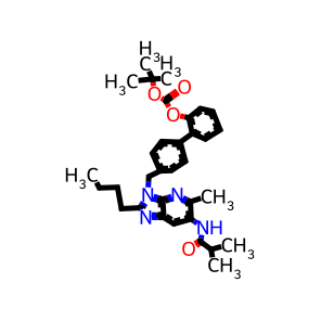 CCCCc1nc2cc(NC(=O)C(C)C)c(C)nc2n1Cc1ccc(-c2ccccc2OC(=O)OC(C)(C)C)cc1